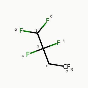 F[C](F)C(F)(F)CC(F)(F)F